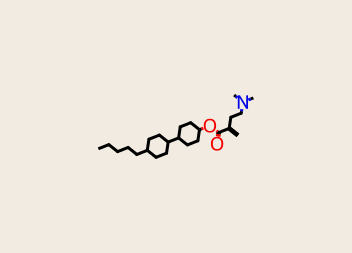 C=C(CCN(C)C)C(=O)OC1CCC(C2CCC(CCCCC)CC2)CC1